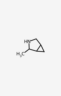 CC1NCC2CC21